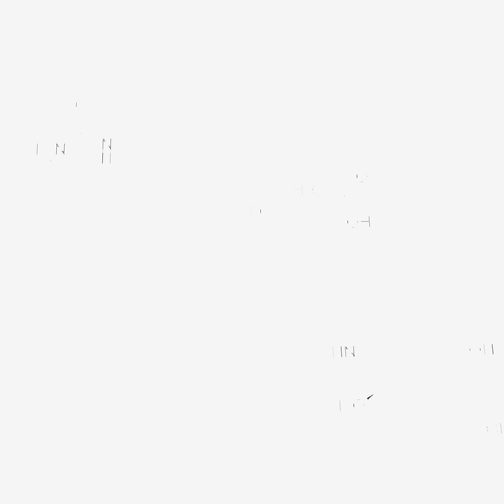 CC(=O)O.NC(=O)Nc1cccc(CCCCOCCCCCCNC[C@H](O)c2ccc(O)c(CO)c2)c1